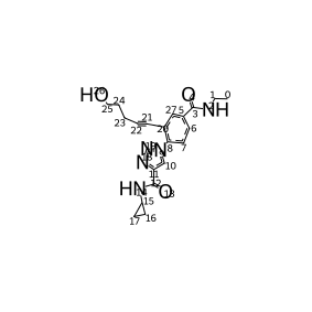 CCNC(=O)c1ccc(-n2cc(C(=O)NC3CC3)nn2)c(C#CCCCO)c1